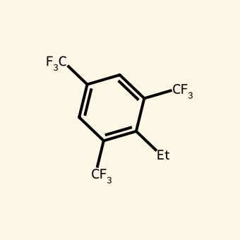 [CH2]Cc1c(C(F)(F)F)cc(C(F)(F)F)cc1C(F)(F)F